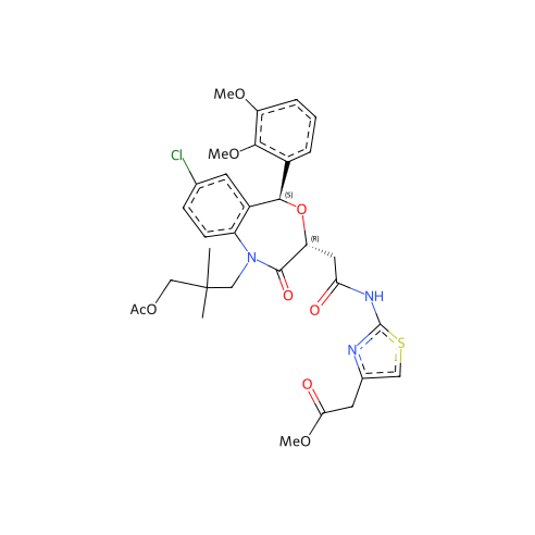 COC(=O)Cc1csc(NC(=O)C[C@H]2O[C@H](c3cccc(OC)c3OC)c3cc(Cl)ccc3N(CC(C)(C)COC(C)=O)C2=O)n1